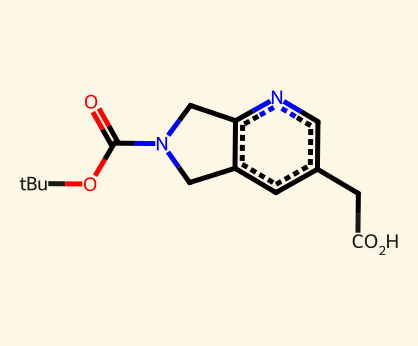 CC(C)(C)OC(=O)N1Cc2cc(CC(=O)O)cnc2C1